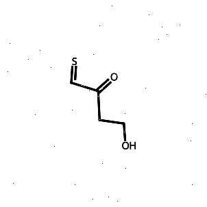 O=C(C=S)CCO